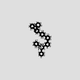 c1ccc(-c2cc(-c3cccc(-c4cccc(-c5ccc(-c6ccc7c(c6)C6(CCCCC6)c6ccccc6-7)cc5)c4)c3)nc(-c3ccccc3)n2)cc1